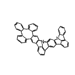 c1ccc2c(c1)-c1ccccc1-c1cc3c4cccc5c6cc7c8cccc9c%10ccccc%10n(c7cc6n(c3cc1-c1ccccc1-2)c45)c98